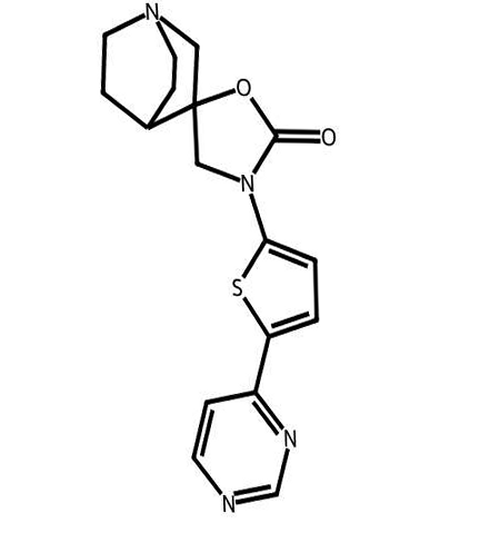 O=C1OC2(CN3CCC2CC3)CN1c1ccc(-c2ccncn2)s1